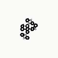 CN(c1ccccc1)c1ccccc1Nc1ccc2c(-c3ccc4sc5ccccc5c4c3)c3c(c(-c4cccc5ccccc45)c2c1)=CCC(N1c2ccccc2N(C)c2ccccc21)C=3